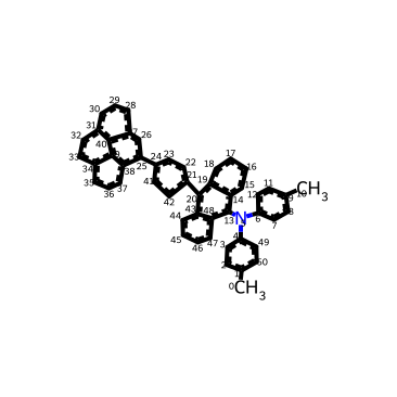 Cc1ccc(N(c2ccc(C)cc2)c2c3ccccc3c(-c3ccc(-c4cc5cccc6ccc7cccc4c7c65)cc3)c3ccccc23)cc1